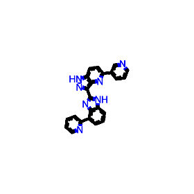 c1ccc(-c2cccc3[nH]c(-c4n[nH]c5ccc(-c6cccnc6)nc45)nc23)nc1